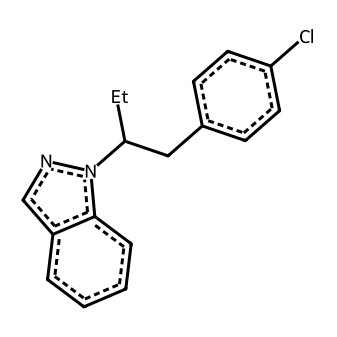 CCC(Cc1ccc(Cl)cc1)n1ncc2ccccc21